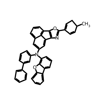 CC1C=CC(c2nc3c(o2)-c2cccc4cc(N(c5cccc(-c6ccccc6)c5)c5cccc6c5oc5ccccc56)cc-3c24)=CC1